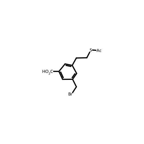 CC(=O)SCCc1cc(CBr)cc(C(=O)O)c1